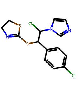 Clc1ccc(C(SC2=NCCS2)C(Cl)n2ccnc2)cc1